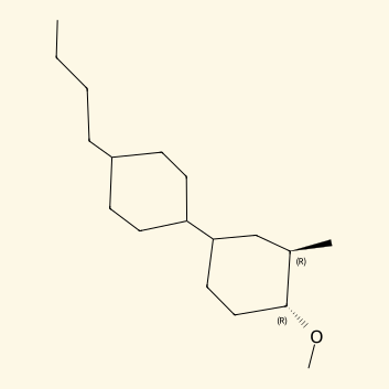 CCCCC1CCC(C2CC[C@@H](OC)[C@H](C)C2)CC1